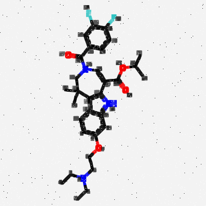 CCN(CC)CCOc1ccc2c3c([nH]c2c1)C(C(=O)OC(C)C)=CN(C(=O)c1ccc(F)c(F)c1)CC3(C)C